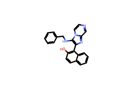 Oc1ccc2ccccc2c1-c1nc2cnccn2c1NCc1ccccc1